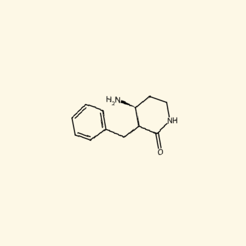 N[C@H]1CCNC(=O)C1Cc1ccccc1